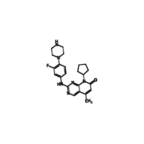 Cc1cc(=O)n(C2CCCC2)c2nc(Nc3ccc(N4CCNCC4)c(F)c3)ncc12